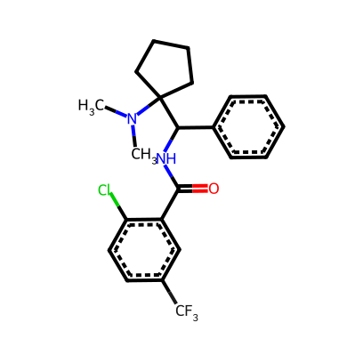 CN(C)C1(C(NC(=O)c2cc(C(F)(F)F)ccc2Cl)c2ccccc2)CCCC1